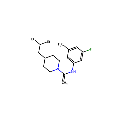 C=C(Nc1cc(F)cc(C(F)(F)F)c1)N1CCC(CC(CC)CC)CC1